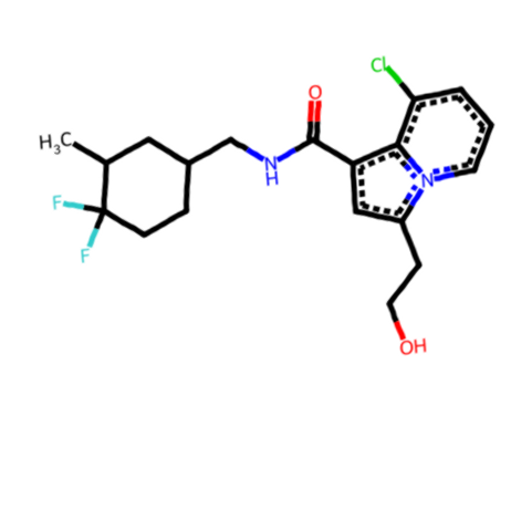 CC1CC(CNC(=O)c2cc(CCO)n3cccc(Cl)c23)CCC1(F)F